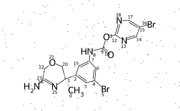 C[C@@]1(c2cc(Br)cc(NC(=O)Oc3ncc(Br)cn3)c2)COCC(N)=N1